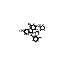 Cc1cccc(CC(NC(=O)NC2CCCC2)(c2cc(F)cc(C(F)(F)F)c2)c2ccc(Cl)cn2)c1